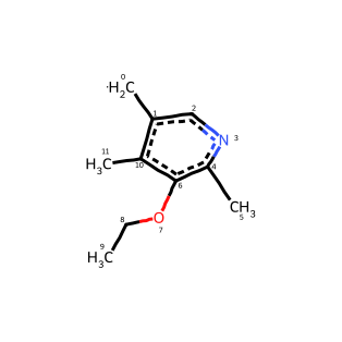 [CH2]c1cnc(C)c(OCC)c1C